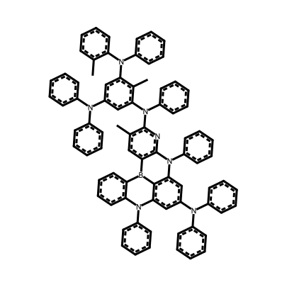 Cc1ccccc1N(c1ccccc1)c1cc(N(c2ccccc2)c2ccccc2)cc(N(c2ccccc2)c2nc3c(cc2C)B2c4ccccc4N(c4ccccc4)c4cc(N(c5ccccc5)c5ccccc5)cc(c42)N3c2ccccc2)c1C